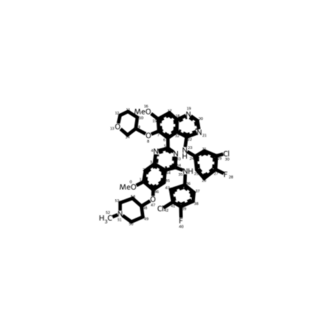 COc1cc2nc(-c3c(OC4CCCOC4)c(OC)cc4ncnc(Nc5ccc(F)c(Cl)c5)c34)nc(Nc3ccc(F)c(Cl)c3)c2cc1OC1CCN(C)CC1